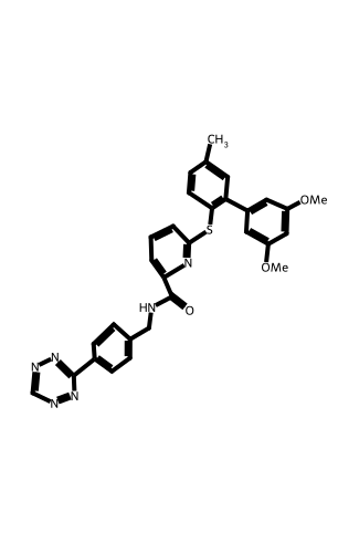 COc1cc(OC)cc(-c2cc(C)ccc2Sc2cccc(C(=O)NCc3ccc(-c4nncnn4)cc3)n2)c1